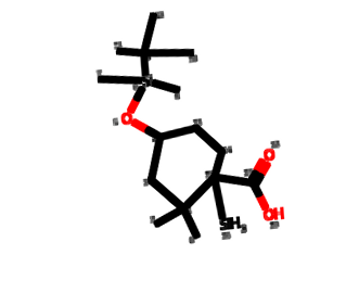 CC1(C)CC(O[Si](C)(C)C(C)(C)C)CCC1([SiH3])C(=O)O